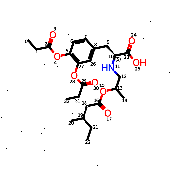 CCC(=O)Oc1ccc(C[C@H](NCC(C)OC(=O)CC(C)CC)C(=O)O)cc1OC(=O)CC